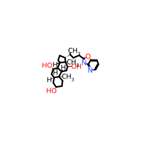 CC(CCc1nc2ncccc2o1)[C@H]1CC[C@H]2[C@@H]3[C@H](O)C[C@@H]4C[C@H](O)CC[C@]4(C)[C@H]3C[C@H](O)[C@]12C